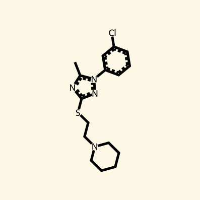 Cc1nc(SCCN2CCCCC2)nn1-c1cccc(Cl)c1